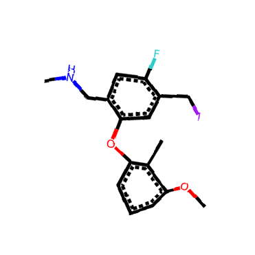 CNCc1cc(F)c(CI)cc1Oc1cccc(OC)c1C